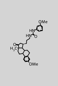 COc1cccc(NC(=O)NCCC[C@@H]2CC(=O)[C@@]3(C)CCC4c5ccc(OC)cc5CCC4C23)c1